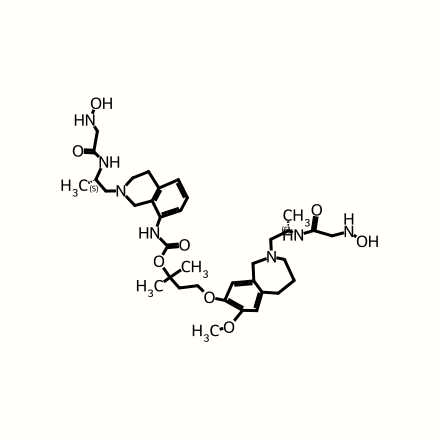 COc1cc2c(cc1OCCC(C)(C)OC(=O)Nc1cccc3c1CN(C[C@H](C)NC(=O)CNO)CC3)CN(C[C@H](C)NC(=O)CNO)CCC2